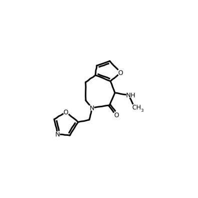 CNC1C(=O)N(Cc2cnco2)CCc2ccoc21